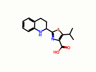 CC(C)c1sc(C2CCc3ccccc3N2)nc1C(=O)O